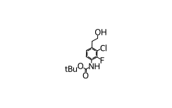 CC(C)(C)OC(=O)Nc1ccc(CCO)c(Cl)c1F